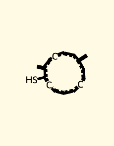 C=c1cccccccc(S)c(=C)cccc1